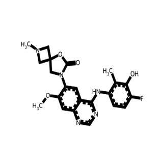 COc1cc2ncnc(Nc3ccc(F)c(O)c3C)c2cc1N1CC2(CN(C)C2)OC1=O